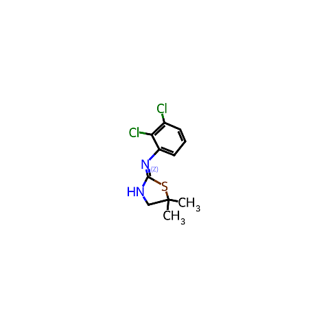 CC1(C)CN/C(=N/c2cccc(Cl)c2Cl)S1